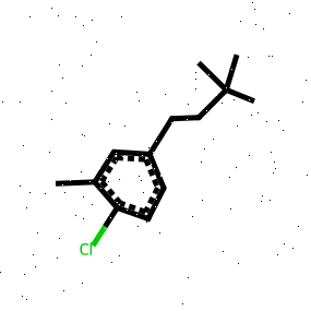 Cc1cc(CCC(C)(C)C)ccc1Cl